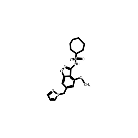 COc1cc(Cn2cccn2)cc2onc(NS(=O)(=O)C3CCCCCC3)c12